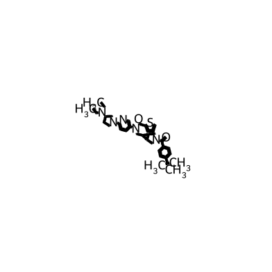 CCN(CC)C1CCN(c2ccc(N(CC3C4CN(C(=O)c5ccc(C(C)(C)C)cc5)CC43)C(=O)c3cccs3)cn2)C1